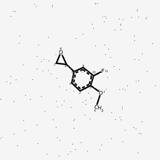 COc1ccc(C2CO2)cc1F